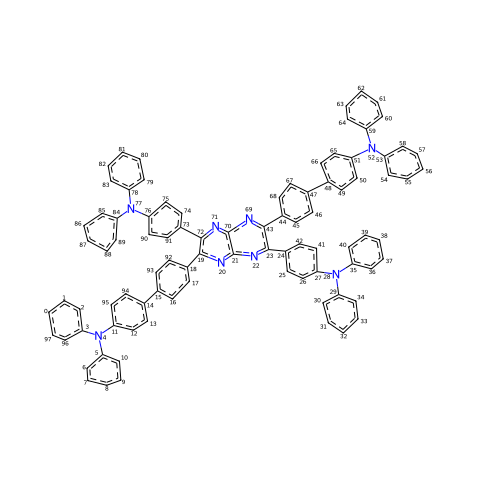 c1ccc(N(c2ccccc2)c2ccc(-c3ccc(-c4nc5nc(-c6ccc(N(c7ccccc7)c7ccccc7)cc6)c(-c6ccc(-c7ccc(N(c8ccccc8)c8ccccc8)cc7)cc6)nc5nc4-c4ccc(N(c5ccccc5)c5ccccc5)cc4)cc3)cc2)cc1